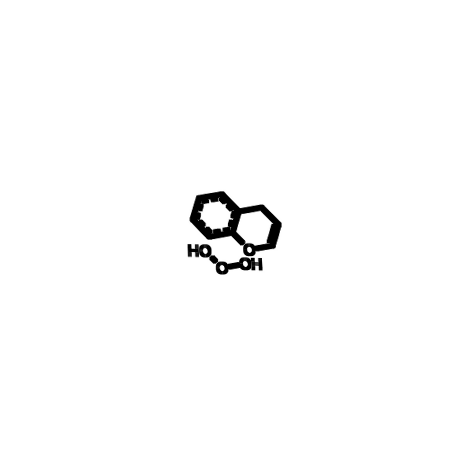 C1=COc2ccccc2C1.OOO